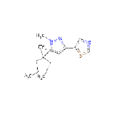 CCCC(C)(CC)c1cc(-c2cncs2)nn1C